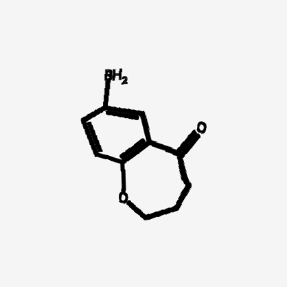 Bc1ccc2c(c1)C(=O)CCCO2